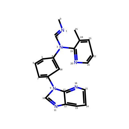 C/N=C/N(c1cccc(-n2cnc3cccnc32)c1)c1ncccc1C